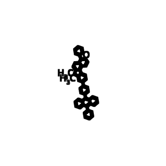 CC1(C)c2cc(-c3ccc(-c4c5ccccc5c(-c5ccccc5)c5ccccc45)cc3)ccc2-c2c1ccc1c2ccc2oc3ccccc3c21